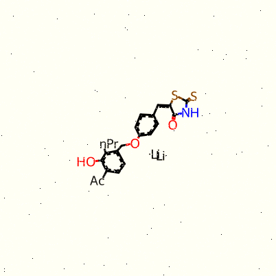 CCCc1c(COc2ccc(C=C3SC(=S)NC3=O)cc2)ccc(C(C)=O)c1O.[Li].[Li]